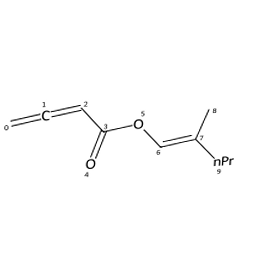 C=C=CC(=O)OC=C(C)CCC